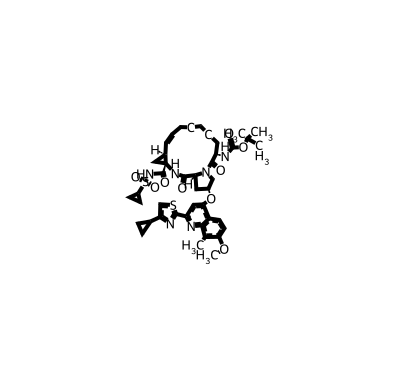 COc1ccc2c(O[C@@H]3C[C@H]4C(=O)N[C@]5(C(=O)NS(=O)(=O)C6CC6)C[C@H]5/C=C\CCCCC[C@H](NC(=O)OC(C)(C)C)C(=O)N4C3)cc(-c3nc(C4CC4)cs3)nc2c1C